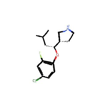 CC(C)C[C@@H](Oc1ccc(Cl)cc1F)[C@H]1CCNC1